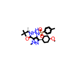 CO[C@H]1CC[C@@H](c2nn(C)c(C(=O)N[C@@H](C)C(C)(C)C)c2NS(=O)(=O)c2ccc(C)cc2)CC1